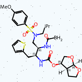 BC(=O)N[C@H](CN(CC(C)C)S(=O)(=O)c1ccc(OC)cc1)[C@H](Cc1cccs1)NC(=O)O[C@H]1CO[C@H]2OCC[C@H]21